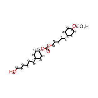 O=C(O)O[C@H]1CC[C@H](CCCCCOC(=O)O[C@H]2CC[C@H](CCCCCCO)CC2)CC1